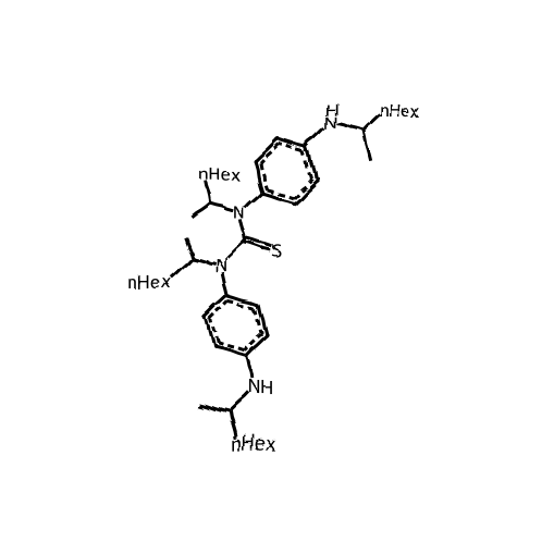 CCCCCCC(C)Nc1ccc(N(C(=S)N(c2ccc(NC(C)CCCCCC)cc2)C(C)CCCCCC)C(C)CCCCCC)cc1